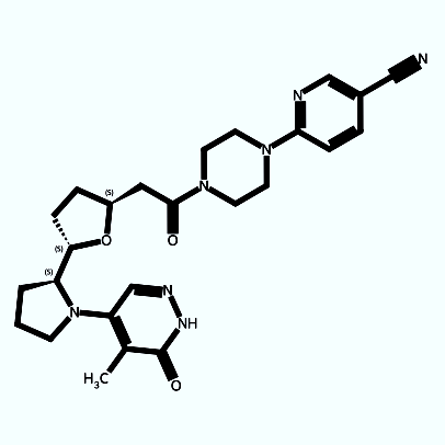 Cc1c(N2CCC[C@H]2[C@@H]2CC[C@@H](CC(=O)N3CCN(c4ccc(C#N)cn4)CC3)O2)cn[nH]c1=O